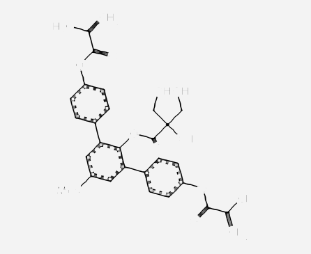 C=C(C)C(=O)Oc1ccc(-c2cc(SC)cc(-c3ccc(OC(=O)C(=C)C)cc3)c2OC(=O)C(C)(CO)CO)cc1